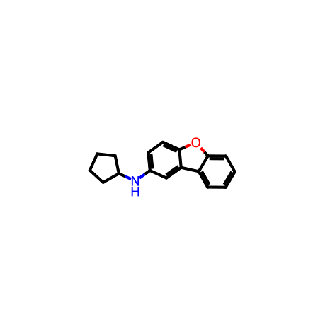 c1ccc2c(c1)oc1ccc(NC3CCCC3)cc12